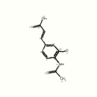 CC(=O)Nc1ccc(C=CC(=O)O)cc1Cl